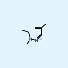 C=C(C)/C=N\N(C)CC